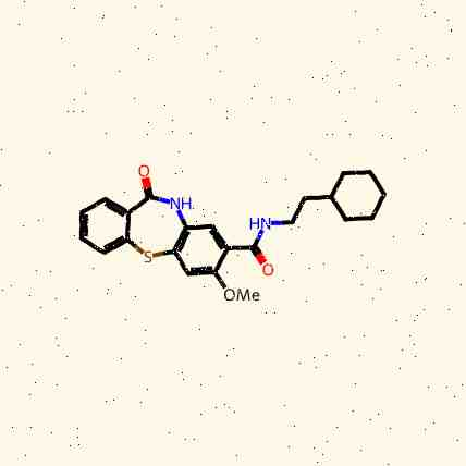 COc1cc2c(cc1C(=O)NCCC1CCCCC1)NC(=O)c1ccccc1S2